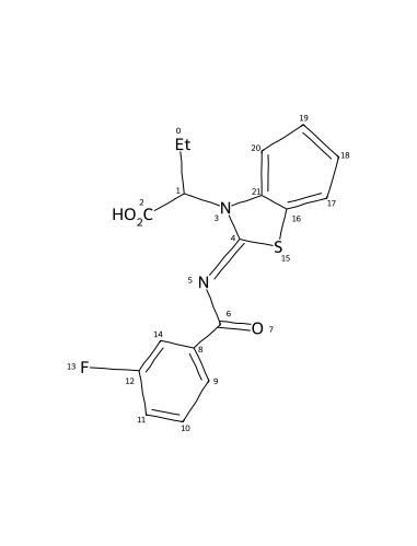 CCC(C(=O)O)n1c(=NC(=O)c2cccc(F)c2)sc2ccccc21